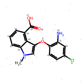 Cn1cc(Oc2ccc(Cl)cc2N)c2c(C(=O)O)cccc21